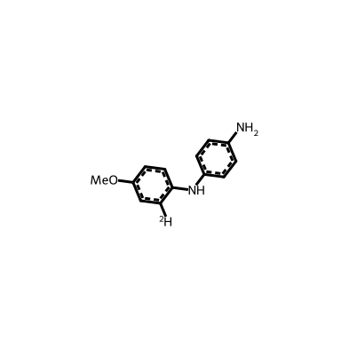 [2H]c1cc(OC)ccc1Nc1ccc(N)cc1